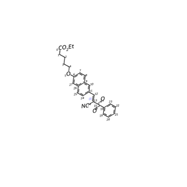 CCOC(=O)CCCCOc1ccc2cc(/C=C(\C#N)S(=O)(=O)c3ccccc3)ccc2c1